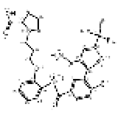 CN(C(=O)c1ccc(Cl)c(-c2cnc(C(F)(F)F)cc2CN)c1)c1ccccc1OCCCN1CCC[C@H]1C(=O)O